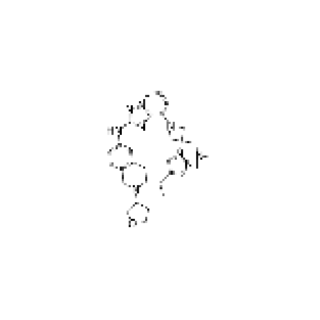 CCc1cnn(C2(CNC)CN(c3cccn4nc(Nc5ccc6c(c5)CCN(C5CCOC5)C6)nc34)C2)c1